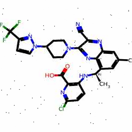 Cc1cc([C@@H](C)Nc2ccc(Cl)nc2C(=O)O)c2nc(N3CCC(n4ccc(C(F)(F)F)n4)CC3)c(C#N)nc2c1